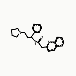 O=C(Cc1ccc2ccccc2n1)NC(CCN1CCCC1)c1ccccc1